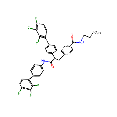 O=C(NCCS(=O)(=O)O)c1ccc(CC(C(=O)Nc2ccc(-c3ccc(F)c(F)c3F)cc2)c2ccc(-c3ccc(F)c(F)c3F)cc2)cc1